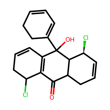 O=C1C2=C(C=CCC2Cl)C(O)(C2=CC=CCC2)C2C1CC=C[C@@H]2Cl